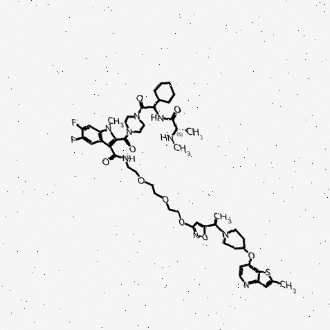 CN[C@@H](C)C(=O)NC(C(=O)N1CCN(C(=O)c2c(C(=O)NCCOCCOCCOc3cc(C(C)N4CCC(Oc5ccnc6cc(C)sc56)CC4)on3)c3cc(F)c(F)cc3n2C)CC1)C1CCCCC1